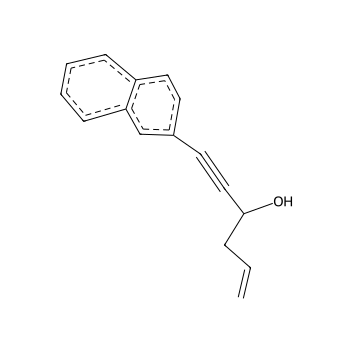 C=CCC(O)C#Cc1ccc2ccccc2c1